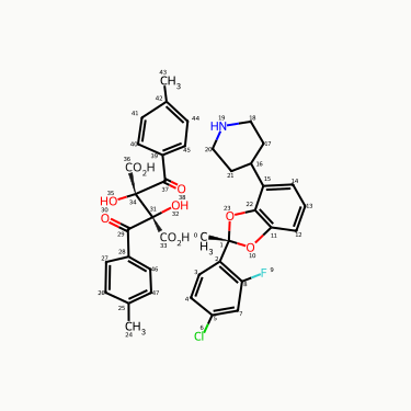 C[C@]1(c2ccc(Cl)cc2F)Oc2cccc(C3CCNCC3)c2O1.Cc1ccc(C(=O)[C@](O)(C(=O)O)[C@@](O)(C(=O)O)C(=O)c2ccc(C)cc2)cc1